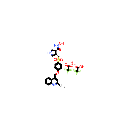 Cc1cc(COc2ccc(S(=O)(=O)C[C@@H]3CNC[C@@H]3C(=O)NO)cc2)c2ccccc2n1.O=C(O)C(F)(F)F.O=C(O)C(F)(F)F